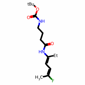 CC/C(=C\C=C(/C)F)NC(=O)CCCNC(=O)OC(C)(C)C